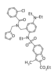 CCOC(=O)c1oc2ccc(S(=O)(=O)N(CC)c3ccc(N(CC)CC)cc3CN(Cc3ccco3)C(=O)c3ccccc3Cl)cc2c1C